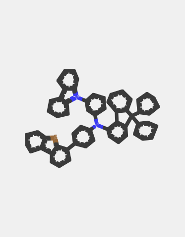 c1ccc(C2(c3ccccc3)c3ccccc3-c3c(N(c4ccc(-c5cccc6c5sc5ccccc56)cc4)c4cccc(-n5c6ccccc6c6ccccc65)c4)cccc32)cc1